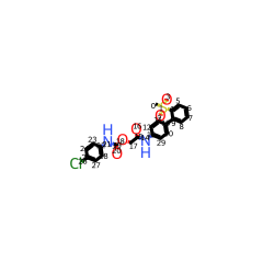 CS(=O)(=O)c1ccccc1-c1ccc(NC(=O)COC(=O)Nc2ccc(Cl)cc2)cc1